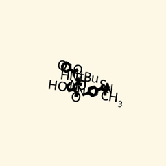 Cc1ncsc1-c1ccc(CNC(=O)C2CC(O)CN2C(=O)[C@@H](NC(=O)C2CCOCC2)C(C)(C)C)cc1